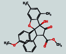 COC(=O)C1C(=O)[C@@]2(O)c3c(C)cc(C)cc3O[C@@]2(c2ccc(OC)cc2)C1c1ccccc1